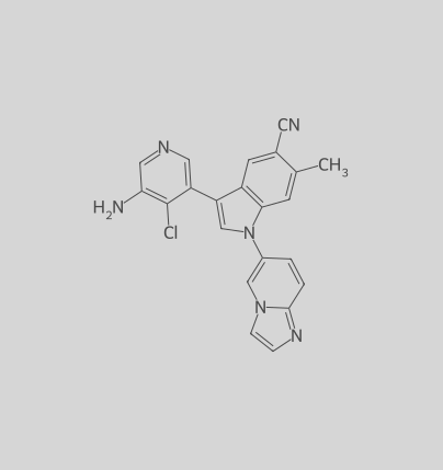 Cc1cc2c(cc1C#N)c(-c1cncc(N)c1Cl)cn2-c1ccc2nccn2c1